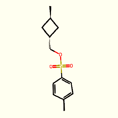 Cc1ccc(S(=O)(=O)OC[C@H]2C[C@H](C)C2)cc1